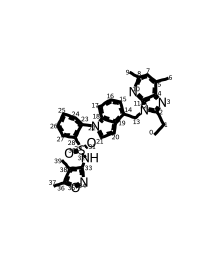 CCc1nc2c(C)cc(C)nc2n1Cc1cccc2c1ccn2-c1ccccc1S(=O)(=O)Nc1noc(C)c1C